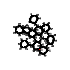 c1ccc(-c2ccc(N(c3cccc(-c4ccccc4)c3-c3ccc4oc5ccccc5c4c3)c3c(-c4ccccc4)cccc3-c3ccccc3)cc2)cc1